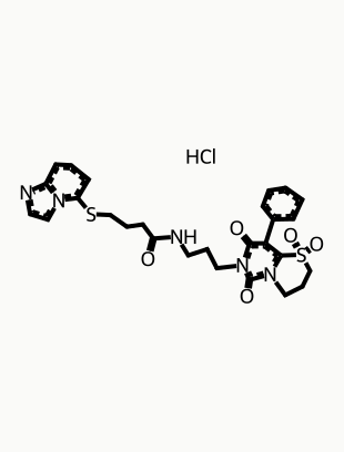 Cl.O=C(CCCSc1cccc2nccn12)NCCCn1c(=O)c(-c2ccccc2)c2n(c1=O)CCCS2(=O)=O